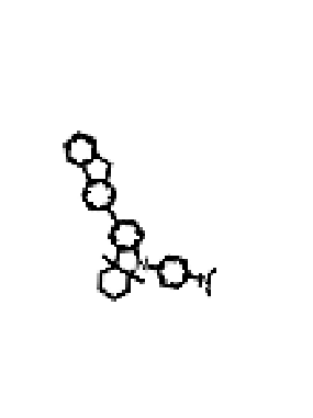 CN(C)c1ccc(N2c3ccc(-c4ccc5c(c4)Cc4ccccc4-5)cc3C3(C)CCCCC23C)cc1